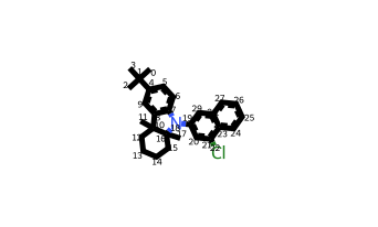 CC(C)(C)c1ccc2c(c1)C1(C)CCCCC1(C)N2c1cc(Cl)c2ccccc2c1